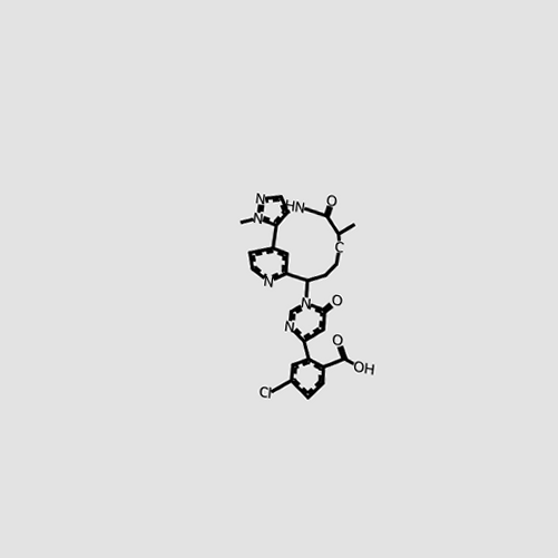 CC1CCCC(n2cnc(-c3cc(Cl)ccc3C(=O)O)cc2=O)c2cc(ccn2)-c2c(cnn2C)NC1=O